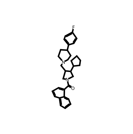 O=C(c1cccc2ccccc12)N1CC(CN2CCC(c3ccc(F)cc3)CC2)C(C2CCCC2)C1